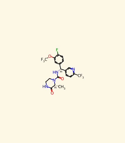 C[C@@H]1C(=O)NCCN1C(=O)N[C@@H](c1ccc(C(F)(F)F)nc1)c1ccc(F)c(OC(F)(F)F)c1